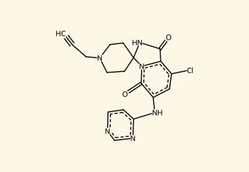 C#CCN1CCC2(CC1)NC(=O)c1c(Cl)cc(Nc3ccncn3)c(=O)n12